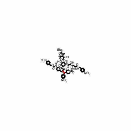 CN(C(=O)OC(C)(C)C)[C@@H]1[C@@H](O)[C@@H](O[C@@H]2[C@@H](O)[C@H](O[C@H]3OC(CNCC4CCN(C(=O)OC(C)(C)C)CC4)=CC[C@H]3NC(=O)OCc3ccc([N+](=O)[O-])cc3)[C@@H](NC(=O)OCc3ccc([N+](=O)[O-])cc3)C[C@H]2NC(=O)[C@H](O)NCCC(=O)OCc2ccc([N+](=O)[O-])cc2)OC[C@]1(C)O